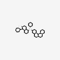 c1ccc(N(c2ccc3c(ccc4ccc5ccccc5c43)c2)c2cccc3c2ccc2oc4ccccc4c23)cc1